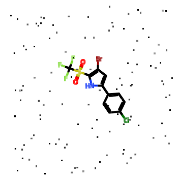 O=S(=O)(c1[nH]c(-c2ccc(Cl)cc2)cc1Br)C(F)(F)F